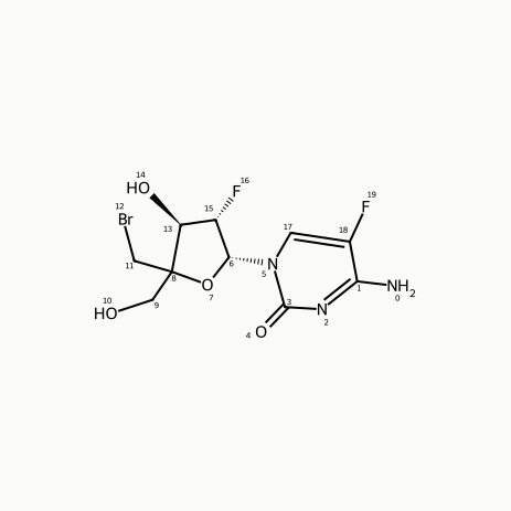 Nc1nc(=O)n([C@@H]2OC(CO)(CBr)[C@@H](O)[C@@H]2F)cc1F